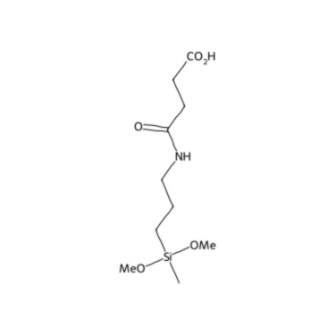 CO[Si](C)(CCCNC(=O)CCC(=O)O)OC